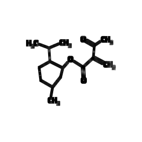 C=C(C(C)=O)C(=O)OC1CC(C)CCC1C(C)C